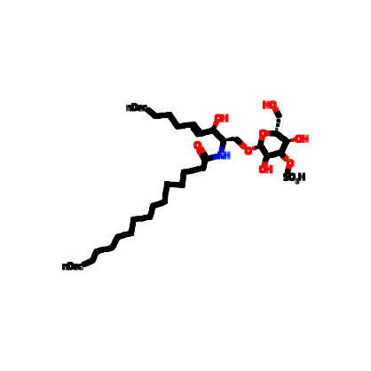 CCCCCCCCCCCCC/C=C/[C@@H](O)[C@H](CO[C@@H]1O[C@H](CO)[C@H](O)C(OS(=O)(=O)O)C1O)NC(=O)CCCCCCCCCCCCCCCCCCCCCCC